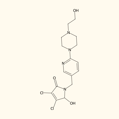 O=C1C(Cl)=C(Cl)C(O)N1Cc1ccc(N2CCN(CCO)CC2)nc1